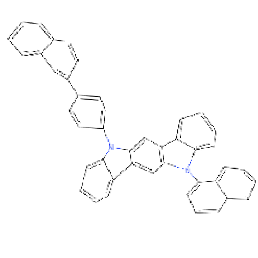 c1ccc2cc(-c3ccc(-n4c5ccccc5c5cc6c(cc54)c4ccccc4n6-c4cccc5ccccc45)cc3)ccc2c1